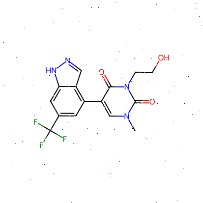 Cn1cc(-c2cc(C(F)(F)F)cc3[nH]ncc23)c(=O)n(CCO)c1=O